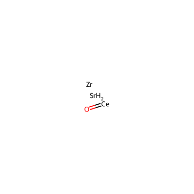 [O]=[Ce].[SrH2].[Zr]